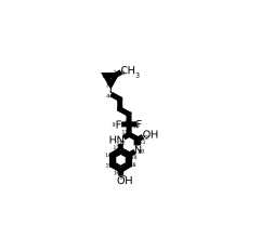 CC1C[C@H]1CCCCC(F)(F)C1Nc2ccc(O)cc2N=C1O